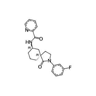 O=C(N[C@@H]1CCC[C@@]2(CCN(c3cccc(F)c3)C2=O)C1)c1ccccn1